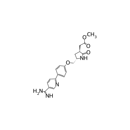 COC(=O)C[C@@H]1C[C@@H](COc2ccc(-c3ccc(C(=N)N)cn3)cc2)NC1=O